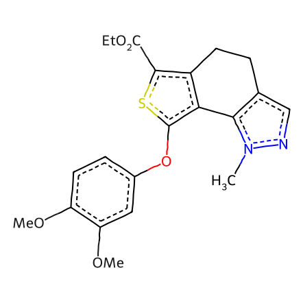 CCOC(=O)c1sc(Oc2ccc(OC)c(OC)c2)c2c1CCc1cnn(C)c1-2